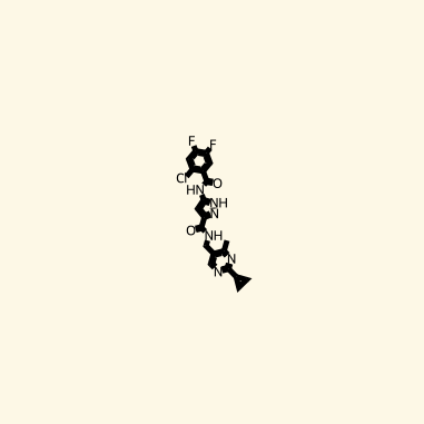 Cc1nc(C2CC2)ncc1CNC(=O)c1cc(NC(=O)c2cc(F)c(F)cc2Cl)[nH]n1